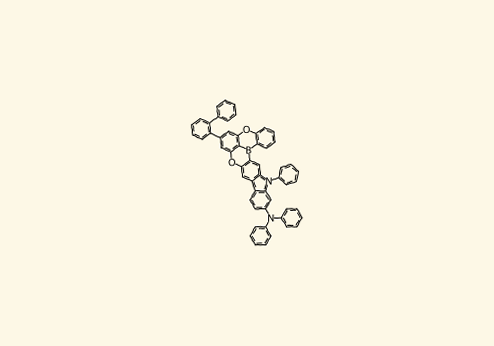 c1ccc(-c2ccccc2-c2cc3c4c(c2)Oc2cc5c6ccc(N(c7ccccc7)c7ccccc7)cc6n(-c6ccccc6)c5cc2B4c2ccccc2O3)cc1